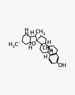 C[C@@H]1CN[C@H]2[C@@H](C)[C@@]3(CC[C@H]4[C@@H]5CCc6cc(O)ccc6[C@H]5CC[C@@]43C)O[C@@H]2C1